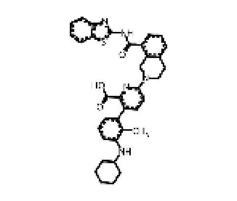 Cc1c(NC2CCCCC2)cccc1-c1ccc(N2CCc3cccc(C(=O)Nc4nc5ccccc5s4)c3C2)nc1C(=O)O